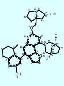 CC1CCCc2cc(O)cc(-c3cc4nc(OC[C@@]56CCCN5C[C@H](F)C6)nc(N5C[C@H]6CC[C@@H](C5)N6)c4c4occc34)c21